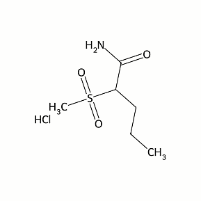 CCCC(C(N)=O)S(C)(=O)=O.Cl